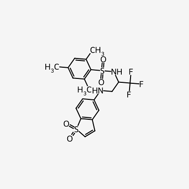 Cc1cc(C)c(S(=O)(=O)NC(CNc2ccc3c(c2)C=CS3(=O)=O)C(F)(F)F)c(C)c1